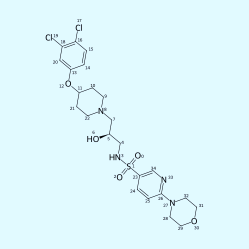 O=S(=O)(NC[C@@H](O)CN1CCC(Oc2ccc(Cl)c(Cl)c2)CC1)c1ccc(N2CCOCC2)nc1